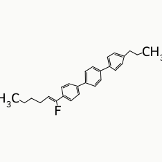 CCCCC=C(F)c1ccc(-c2ccc(-c3ccc(CCC)cc3)cc2)cc1